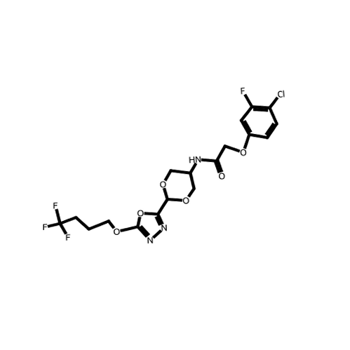 O=C(COc1ccc(Cl)c(F)c1)NC1COC(c2nnc(OCCCC(F)(F)F)o2)OC1